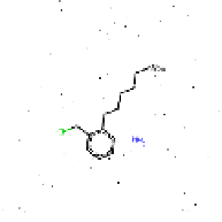 CCCCCCCCCCCCCCc1ccccc1CCl.N